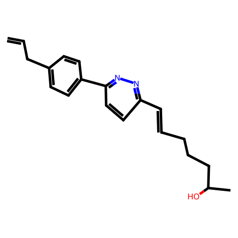 C=CCc1ccc(-c2ccc(/C=C/CCCC(C)O)nn2)cc1